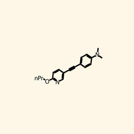 CCCOc1ccc(C#Cc2ccc(N(C)C)cc2)cn1